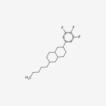 CCCCCC1CCC2CC(c3cc(F)c(F)c(F)c3)CCC2C1